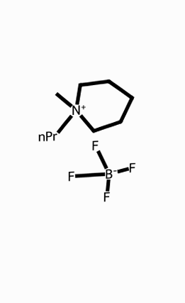 CCC[N+]1(C)CCCCC1.F[B-](F)(F)F